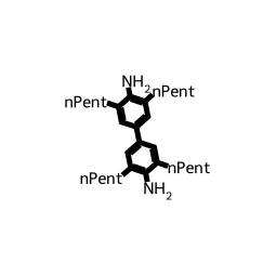 CCCCCc1cc(-c2cc(CCCCC)c(N)c(CCCCC)c2)cc(CCCCC)c1N